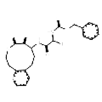 CC(C)C(NC(=O)OCc1ccccc1)C(=O)NC1CCc2cccnc2CCNC(=O)C1=O